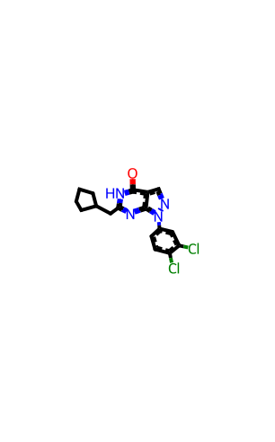 O=c1[nH]c(CC2CCCC2)nc2c1cnn2-c1ccc(Cl)c(Cl)c1